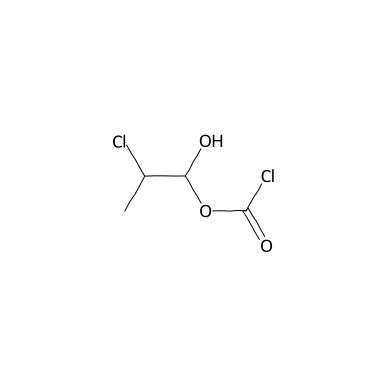 CC(Cl)C(O)OC(=O)Cl